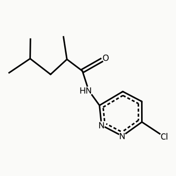 CC(C)CC(C)C(=O)Nc1ccc(Cl)nn1